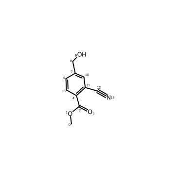 COC(=O)c1ccc(CO)cc1C#N